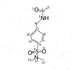 [CH2]C(=O)NCc1ccc(S(=O)(=O)N(C)C)cc1